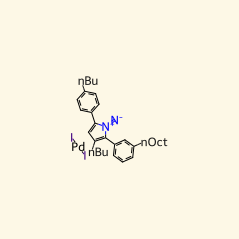 CCCCCCCCc1cccc(C2=C(CCCC)C=C(c3ccc(CCCC)cc3)[N+]2=[N-])c1.[I][Pd][I]